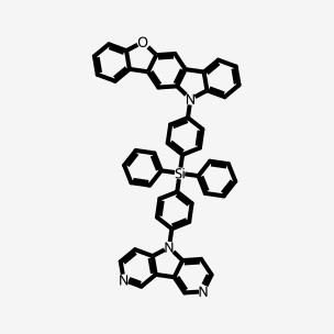 c1ccc([Si](c2ccccc2)(c2ccc(-n3c4ccncc4c4cnccc43)cc2)c2ccc(-n3c4ccccc4c4cc5oc6ccccc6c5cc43)cc2)cc1